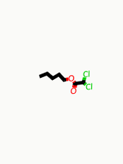 CCCCCOC(=O)C(Cl)Cl